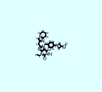 CCn1c(=O)[nH]c(=O)c2c1nc(Cc1cn3c(n1)CCCC3)n2Cc1ccc(N2CC(OC)C2)cc1